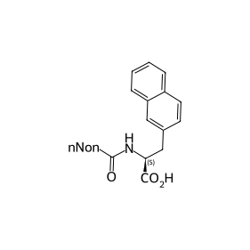 CCCCCCCCCC(=O)N[C@@H](Cc1ccc2ccccc2c1)C(=O)O